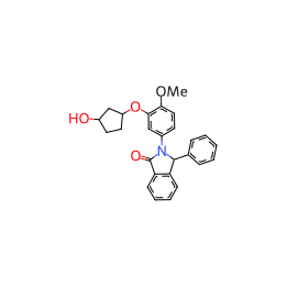 COc1ccc(N2C(=O)c3ccccc3C2c2ccccc2)cc1OC1CCC(O)C1